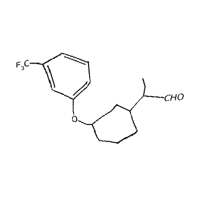 CC(C=O)C1CCCC(Oc2cccc(C(F)(F)F)c2)C1